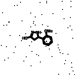 COc1ccccc1C1CC(O)=NN1